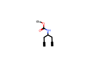 C#CCC(CC#C)NC(=O)OC(C)(C)C